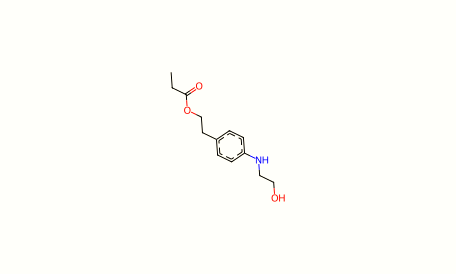 CCC(=O)OCCc1ccc(NCCO)cc1